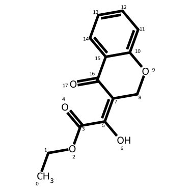 CCOC(=O)/C(O)=C1/COc2ccccc2C1=O